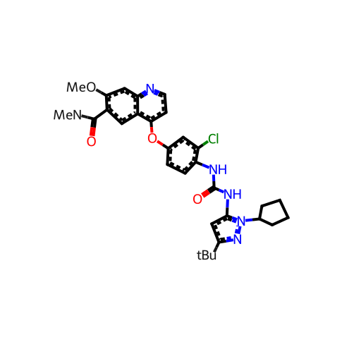 CNC(=O)c1cc2c(Oc3ccc(NC(=O)Nc4cc(C(C)(C)C)nn4C4CCCC4)c(Cl)c3)ccnc2cc1OC